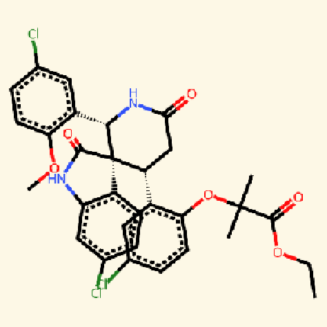 CCOC(=O)C(C)(C)Oc1ccc(Cl)cc1[C@H]1CC(=O)N[C@@H](c2cc(Cl)ccc2OC)[C@]12C(=O)Nc1cc(Cl)ccc12